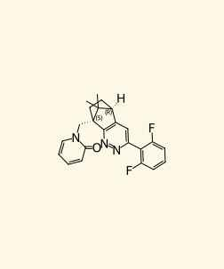 CC1(C)[C@H]2CC[C@]1(Cn1ccccc1=O)c1nnc(-c3c(F)cccc3F)cc12